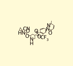 Cc1ccc(=O)n(-c2ccc(S(=O)(=O)[C@H]3CN[C@@H](OC(=O)NC4(C#N)CC4)C3)c(C(F)(F)F)c2)n1